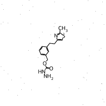 Cc1nc(CCc2cccc(COC(=O)NN)c2)cs1